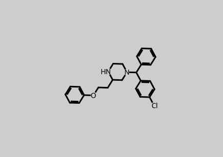 Clc1ccc(C(c2ccccc2)N2CCNC(CCOc3ccccc3)C2)cc1